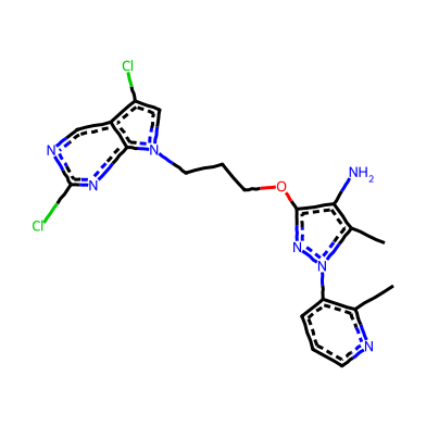 Cc1ncccc1-n1nc(OCCCn2cc(Cl)c3cnc(Cl)nc32)c(N)c1C